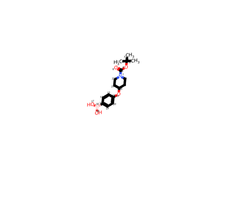 CC(C)(C)OC(=O)N1CCC(Oc2ccc(B(O)O)cc2)CC1